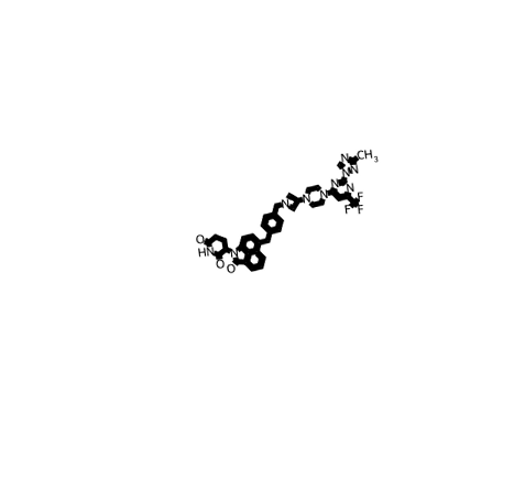 Cc1ncn(-c2nc(N3CCN(C4CN(Cc5ccc(Cc6ccc7c8c(cccc68)C(=O)N7C6CCC(=O)NC6=O)cc5)C4)CC3)cc(C(F)(F)F)n2)n1